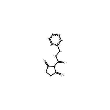 O=C1CCC(=O)C1C(=O)OCc1ccccc1